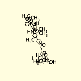 Cc1cc(Nc2ncc(Cl)c(Nc3ccccc3S(=O)(=O)C(C)C)n2)c(OC(C)C)cc1C1CCN(C(=O)CCCC(=O)N[C@H](C(=O)N2C[C@@H](O)C[C@H]2C)C(C)(C)C)CC1